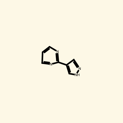 c1cnc(-c2cn[nH]c2)nc1